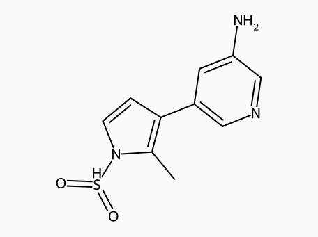 Cc1c(-c2cncc(N)c2)ccn1[SH](=O)=O